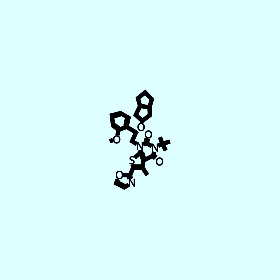 COc1ccccc1C(Cn1c(=O)n(C(C)(C)C)c(=O)c2c(C)c(-c3ncco3)sc21)OC1CC2CCCC2C1